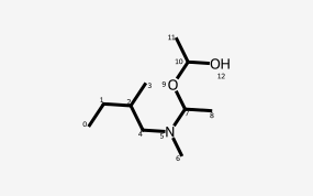 CCC(C)CN(C)C(C)OC(C)O